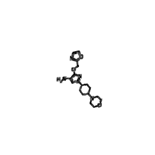 Nc1cn(C2CCC(N3CCOCC3)CC2)nc1OCc1ncco1